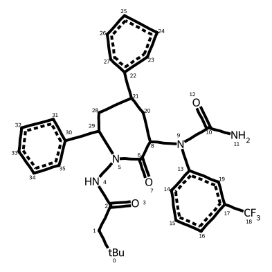 CC(C)(C)CC(=O)NN1C(=O)C(N(C(N)=O)c2cccc(C(F)(F)F)c2)CC(c2ccccc2)CC1c1ccccc1